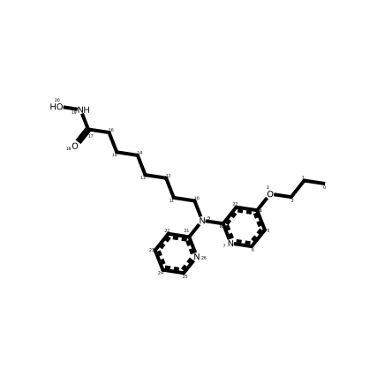 CCCOc1ccnc(N(CCCCCCCC(=O)NO)c2ccccn2)c1